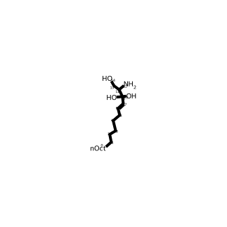 CCCCCCCCCCCCC/C=C/C(O)(O)C(N)CO